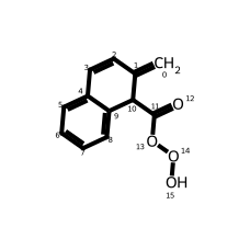 C=C1C=Cc2ccccc2C1C(=O)OOO